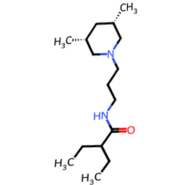 CCC(CC)C(=O)NCCCN1C[C@H](C)C[C@H](C)C1